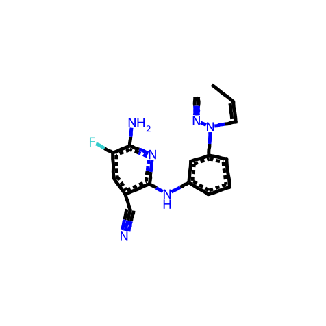 C=NN(/C=C\C)c1cccc(Nc2nc(N)c(F)cc2C#N)c1